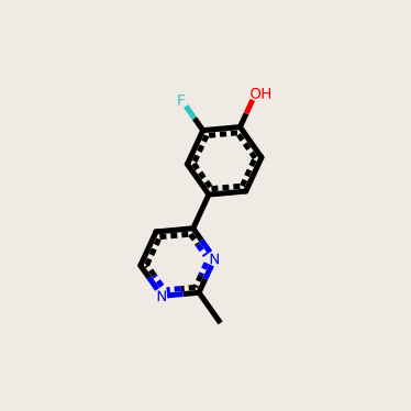 Cc1nccc(-c2ccc(O)c(F)c2)n1